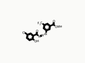 COC(=O)c1cc(N=[N+]=NC(=O)c2cc(Cl)ccc2O)cc(C(F)(F)F)c1